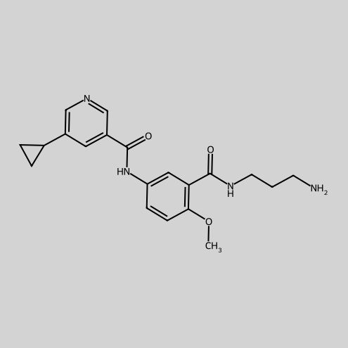 COc1ccc(NC(=O)c2cncc(C3CC3)c2)cc1C(=O)NCCCN